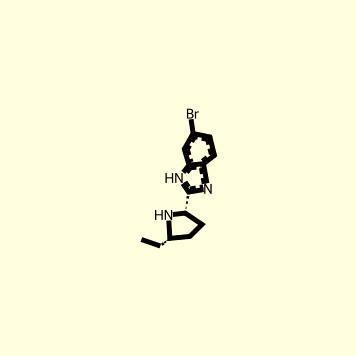 CC[C@H]1CC[C@@H](c2nc3ccc(Br)cc3[nH]2)N1